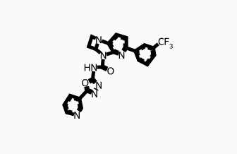 O=C(Nc1nnc(-c2cccnc2)o1)N1c2nc(-c3cccc(C(F)(F)F)c3)ccc2N2CCC21